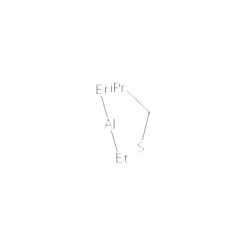 CC(C)C[S-].C[CH2][Al+][CH2]C